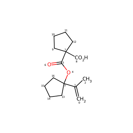 C=C(C)C1(OC(=O)C2(C(=O)O)CCCC2)CCCC1